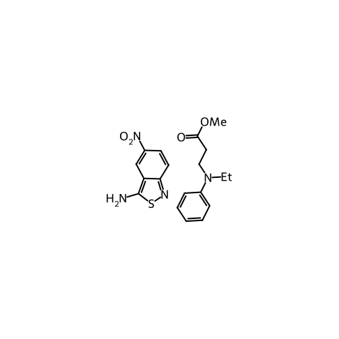 CCN(CCC(=O)OC)c1ccccc1.Nc1snc2ccc([N+](=O)[O-])cc12